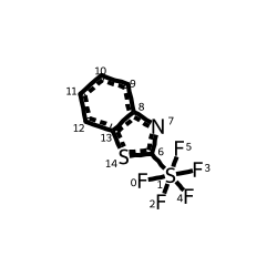 FS(F)(F)(F)(F)c1nc2ccccc2s1